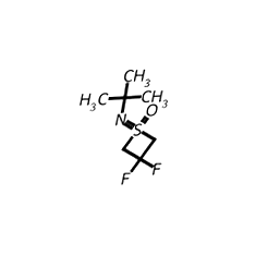 CC(C)(C)N=S1(=O)CC(F)(F)C1